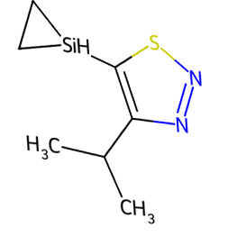 CC(C)c1nnsc1[SiH]1CC1